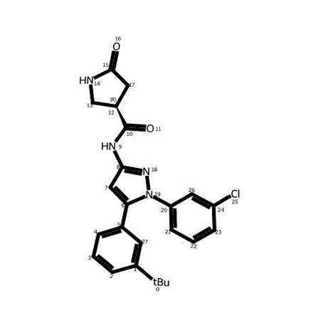 CC(C)(C)c1cccc(-c2cc(NC(=O)[C@H]3CNC(=O)C3)nn2-c2cccc(Cl)c2)c1